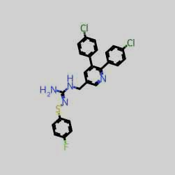 N/C(=N\Sc1ccc(F)cc1)NCc1cnc(-c2ccc(Cl)cc2)c(-c2ccc(Cl)cc2)c1